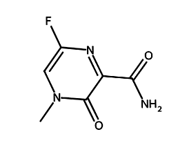 Cn1cc(F)nc(C(N)=O)c1=O